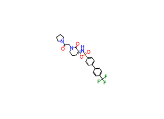 O=C(CN1CCC[C@H](NS(=O)(=O)c2ccc(-c3ccc(C(F)(F)F)cc3)cc2)C1=O)N1CCCC1